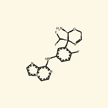 N[C@H]1OCC=N[C@@]1(c1cc(Nc2nccn3ccnc23)ccc1F)C(F)F